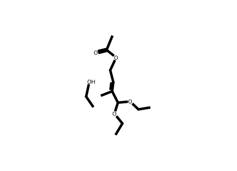 CCO.CCOC(OCC)/C(C)=C/COC(C)=O